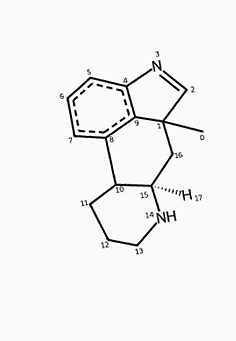 CC12C=Nc3cccc(c31)C1CCCN[C@@H]1C2